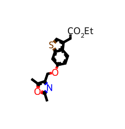 CCOC(=O)Cc1csc2cc(OCc3nc(C)oc3C)ccc12